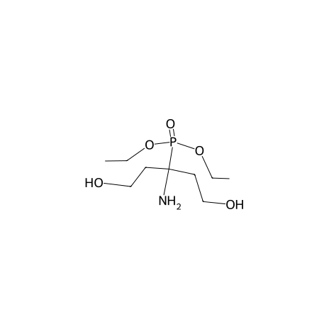 CCOP(=O)(OCC)C(N)(CCO)CCO